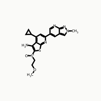 COCC[S+]([O-])c1sc2nc(-c3cnc4nn(C)cc4c3)cc(C3CC3)c2c1N